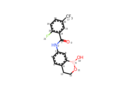 O=C(Nc1ccc2c(c1)B(O)OCC2)c1cc(C(F)(F)F)ccc1F